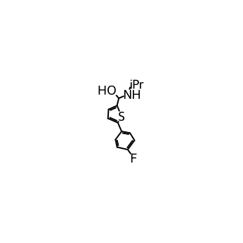 CC(C)NC(O)c1ccc(-c2ccc(F)cc2)s1